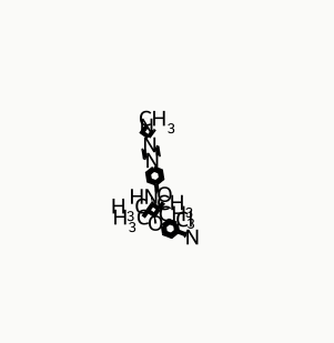 CN1CC(N2CCN(c3ccc(C(=O)N[C@H]4C(C)(C)[C@H](Oc5ccc(C#N)c(Cl)c5)C4(C)C)cc3)CC2)C1